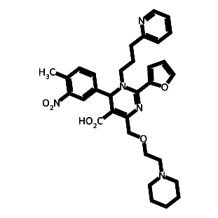 Cc1ccc(C2C(C(=O)O)=C(COCCN3CCCCC3)N=C(c3ccco3)N2CCCc2ccccn2)cc1[N+](=O)[O-]